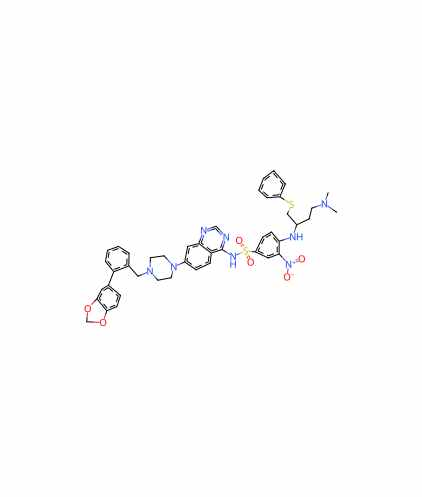 CN(C)CCC(CSc1ccccc1)Nc1ccc(S(=O)(=O)Nc2ncnc3cc(N4CCN(Cc5ccccc5-c5ccc6c(c5)OCO6)CC4)ccc23)cc1[N+](=O)[O-]